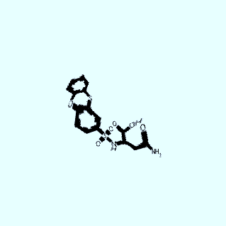 NC(=O)CC(NS(=O)(=O)c1ccc2c(c1)Sc1ccccc1O2)C(=O)O